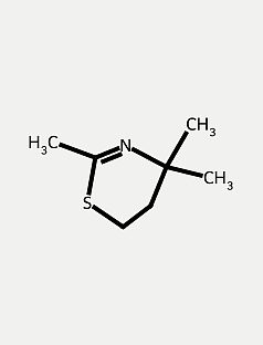 CC1=NC(C)(C)CCS1